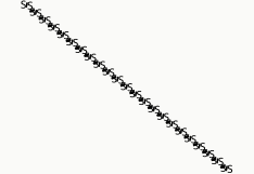 S=S=S=S=S=S=S=S=S=S=S=S=S=S=S=S=S=S=S=S=S=S=S=S=S=S=S=S=S=S=S=S=S=S=S=S=S=S=S=S=S=S=S=S=S=S